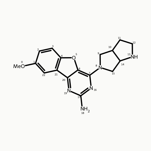 COc1ccc2oc3c(N4CC5CCNC5C4)nc(N)nc3c2c1